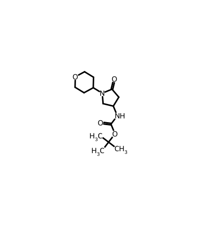 CC(C)(C)OC(=O)NC1CC(=O)N(C2CCOCC2)C1